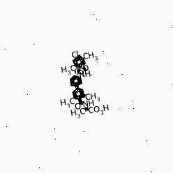 Cc1cc(S(=O)(=O)Nc2cccc(-c3cc(C)c(C(=O)N[C@@H](C)C(=O)O)c(C)c3)c2)c(C)cc1Cl